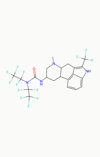 CN1CC(NC(=O)N(C(F)(F)C(F)(F)F)C(F)(F)C(F)(F)F)CC2c3cccc4[nH]c(C(F)(F)F)c(c34)CC21